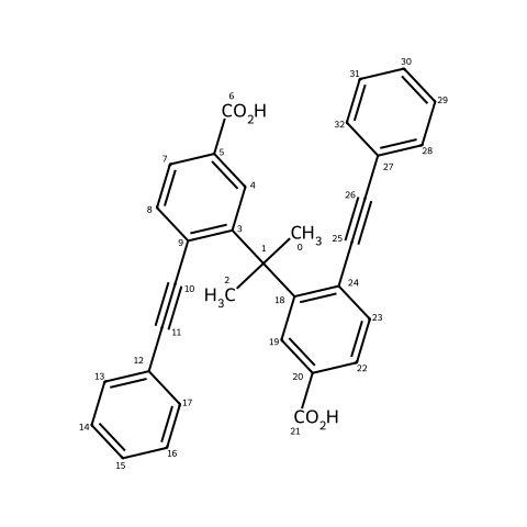 CC(C)(c1cc(C(=O)O)ccc1C#Cc1ccccc1)c1cc(C(=O)O)ccc1C#Cc1ccccc1